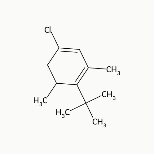 CC1=C(C(C)(C)C)C(C)CC(Cl)=C1